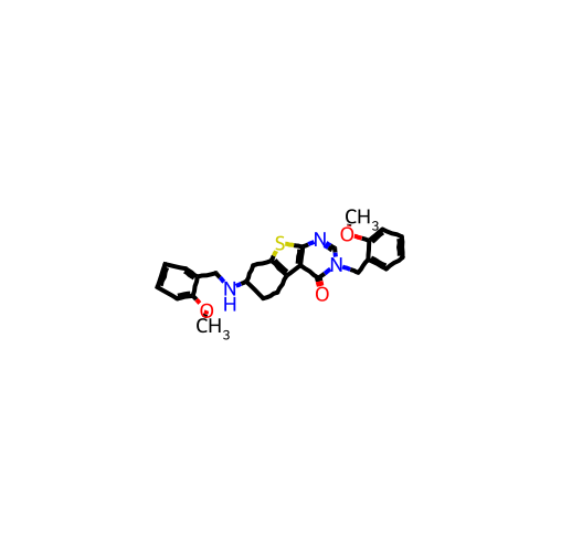 COc1ccccc1CNC1CCc2c(sc3ncn(Cc4ccccc4OC)c(=O)c23)C1